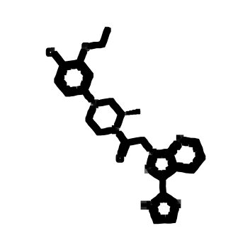 CCOc1cc(N2CCN(C(=O)Cn3nc(-c4ncc[nH]4)c4cccnc43)[C@@H](C)C2)ccc1Cl